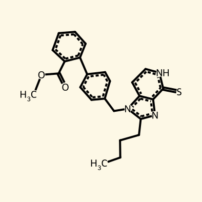 CCCCc1nc2c(=S)[nH]ccc2n1Cc1ccc(-c2ccccc2C(=O)OC)cc1